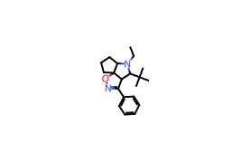 CCN1C(C(C)(C)C)C2C(c3ccccc3)=NOC23CCCC13